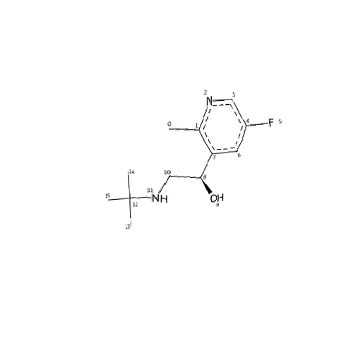 Cc1ncc(F)cc1[C@@H](O)CNC(C)(C)C